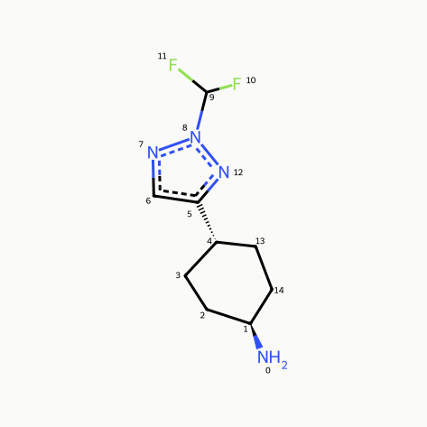 N[C@H]1CC[C@H](c2cnn(C(F)F)n2)CC1